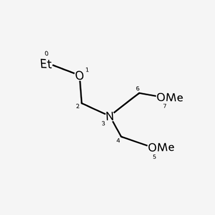 CCOCN(COC)COC